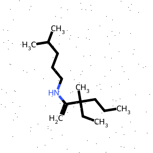 C=C(NCCCC(C)C)C(C)(CC)CCC